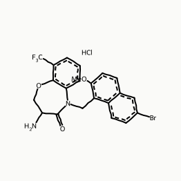 COc1ccc2cc(Br)ccc2c1CN1C(=O)C(N)COc2c1cccc2C(F)(F)F.Cl